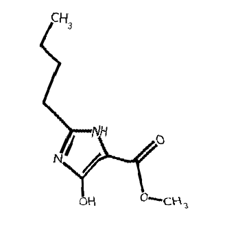 CCCCc1nc(O)c(C(=O)OC)[nH]1